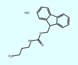 Cl.NCCCNC(=O)OCC1c2ccccc2-c2ccccc21